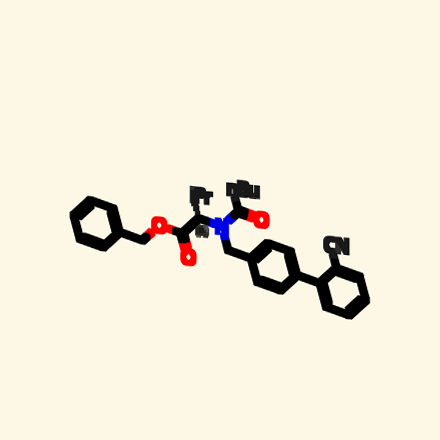 CCCCC(=O)N(Cc1ccc(-c2ccccc2C#N)cc1)[C@H](C(=O)OCc1ccccc1)C(C)C